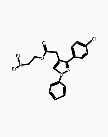 CCN(CC)CCOC(=O)Cc1cn(-c2ccccc2)nc1-c1ccc(Cl)cc1